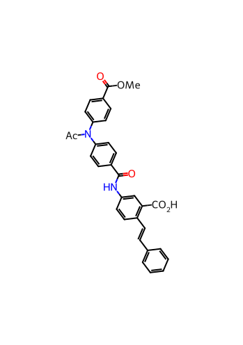 COC(=O)c1ccc(N(C(C)=O)c2ccc(C(=O)Nc3ccc(/C=C/c4ccccc4)c(C(=O)O)c3)cc2)cc1